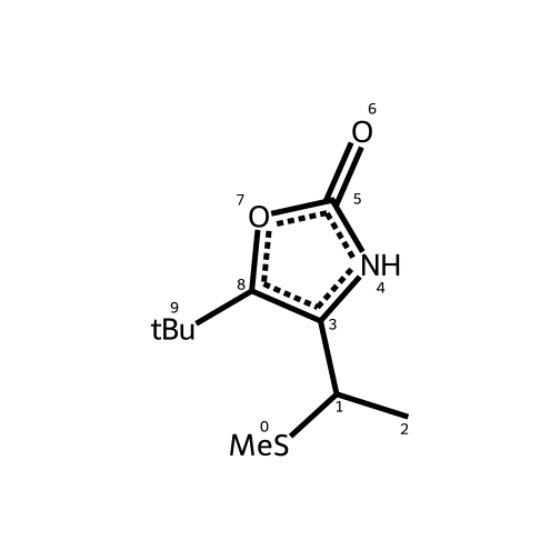 CSC(C)c1[nH]c(=O)oc1C(C)(C)C